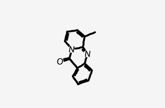 Cc1cccn2c(=O)c3ccccc3nc12